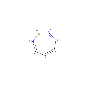 C1=CC=NSN=C1